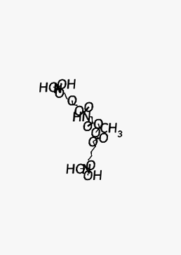 CC(OC(=O)CNC(=O)OCCOCCON(O)O)OC(=O)OCCCCON(O)O